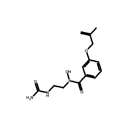 C=C(C)COc1cccc(C(=O)N(O)CCNC(N)=O)c1